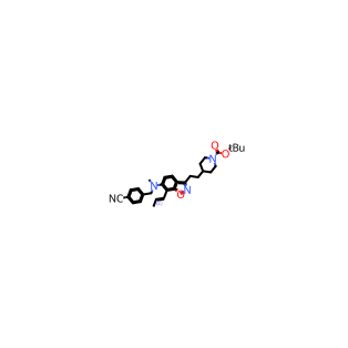 C/C=C/c1c(N(C)Cc2ccc(C#N)cc2)ccc2c(CCC3CCN(C(=O)OC(C)(C)C)CC3)noc12